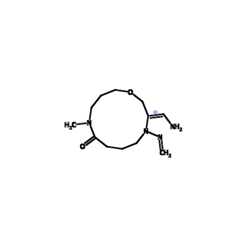 C=NN1CCCC(=O)N(C)CCCOC/C1=C/N